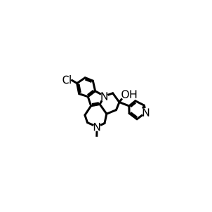 CN1CCc2c3n(c4ccc(Cl)cc24)CC(O)(c2ccncc2)CC3C1